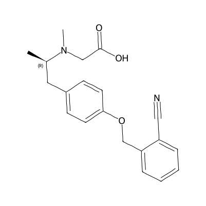 C[C@H](Cc1ccc(OCc2ccccc2C#N)cc1)N(C)CC(=O)O